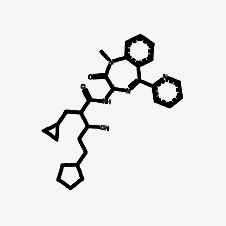 CN1C(=O)C(NC(=O)C(CC2CC2)C(O)CCC2CCCC2)N=C(c2ccccn2)c2ccccc21